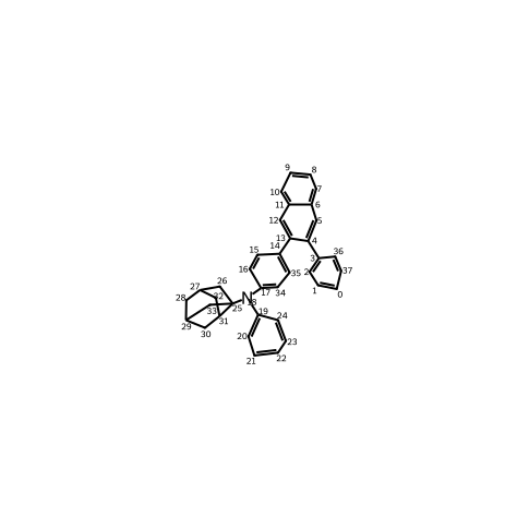 c1ccc(-c2cc3ccccc3cc2-c2ccc(N(c3ccccc3)C34CC5CC(CC3C5)C4)cc2)cc1